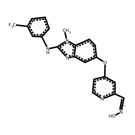 Cn1c(Nc2cccc(C(F)(F)F)c2)nc2cc(Oc3ccnc(/C=N\O)c3)ccc21